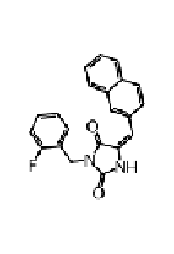 O=C1NC(=Cc2ccc3ccccc3c2)C(=O)N1Cc1ccccc1F